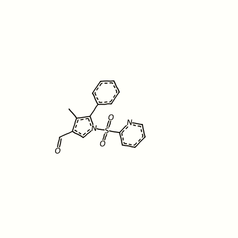 Cc1c(C=O)cn(S(=O)(=O)c2ccccn2)c1-c1ccccc1